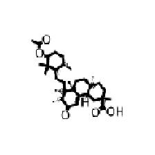 CC(=O)O[C@H]1CC[C@@H](C)[C@@H](CC[C@]2(C)[C@@H](C)C(=O)C=C3[C@@H]4C[C@@](C)(C(=O)O)CC[C@]4(C)CC[C@]32C)C1(C)C